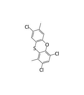 Cc1cc2c(cc1Cl)Sc1c(C)c(Cl)cc(Cl)c1O2